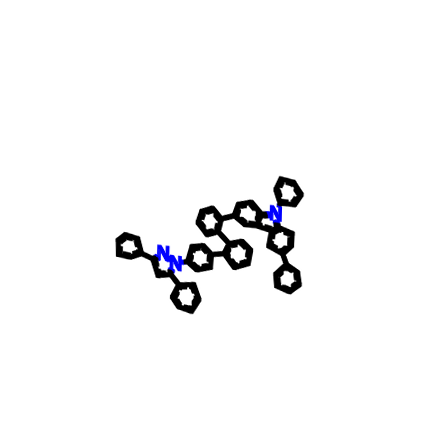 c1ccc(-c2ccc3c(c2)c2cc(-c4ccccc4-c4ccccc4-c4ccc(-n5nc(-c6ccccc6)cc5-c5ccccc5)cc4)ccc2n3-c2ccccc2)cc1